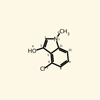 Cn1cc(O)c2c(Cl)cccc21